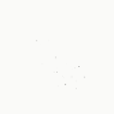 CC(C)C(=O)N1CCC(c2cc3[nH]nc(N)c3c(Br)n2)CC1